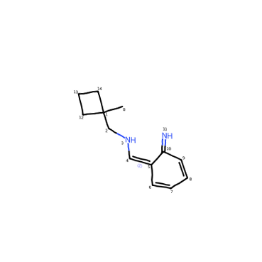 CC1(CN/C=C2/C=CC=CC2=N)CCC1